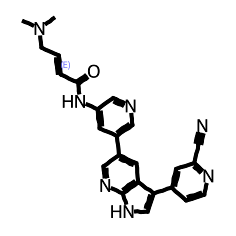 CN(C)C/C=C/C(=O)Nc1cncc(-c2cnc3[nH]cc(-c4ccnc(C#N)c4)c3c2)c1